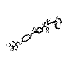 CC(C)(COC1CCN(c2ccc(-c3nnc(-c4ncco4)[nH]3)cn2)CC1)C(=O)O